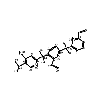 C=Cc1cccc(C(C)(C)c2ccc(C(C)(C)c3cc(F)c(C(C)C)cn3)c(C=C)n2)n1